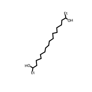 CCC(O)CCCCCCCCCCCCCCC(O)CC